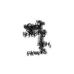 CCCCCCCC1(CCCCCCC)c2ccccc2-c2ccc(-c3ccc4c(c3)C(C)(C)c3cc(-c5ccc(-c6cc7c(c8c6oc6ccccc68)-c6ccc(N(c8ccc(N(c9ccccc9)c9ccccc9)cc8)c8ccc9c(c8)C(C)(C)c8c%10c(c%11oc%12ccccc%12c%11c8-9)-c8ccccc8C%10(C)C)cc6C7(CCCCCCC)CCCCCCC)cc5)ccc3-4)cc21